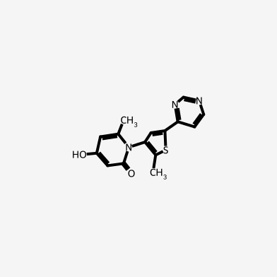 Cc1sc(-c2ccncn2)cc1-n1c(C)cc(O)cc1=O